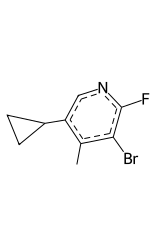 Cc1c(C2CC2)cnc(F)c1Br